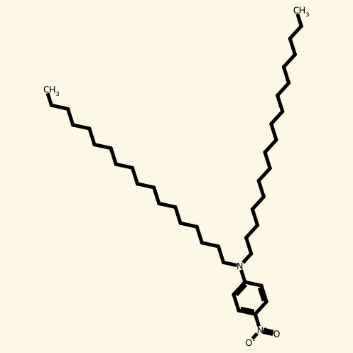 CCCCCCCCCCCCCCCCCCN(CCCCCCCCCCCCCCCCCC)c1ccc([N+](=O)[O-])cc1